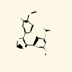 COc1cc(OC)cc(-c2ncoc2-c2ccc(OC)c(O)c2)c1